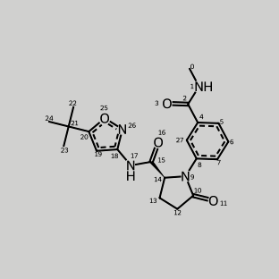 CNC(=O)c1cccc(N2C(=O)CC[C@H]2C(=O)Nc2cc(C(C)(C)C)on2)c1